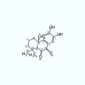 CC(C)c1cc2c(cc1O)[C@@]1(C)CCCC(C)(C)C1C(=O)C2=O